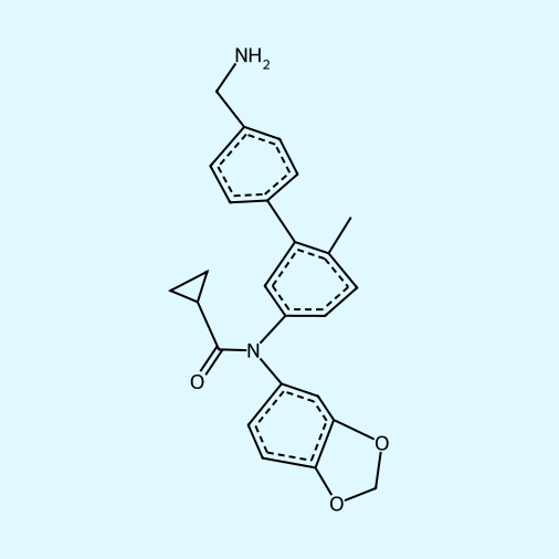 Cc1ccc(N(C(=O)C2CC2)c2ccc3c(c2)OCO3)cc1-c1ccc(CN)cc1